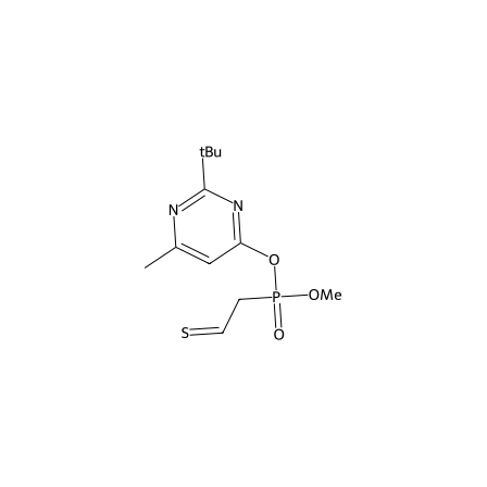 COP(=O)(CC=S)Oc1cc(C)nc(C(C)(C)C)n1